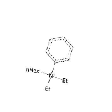 CCCCCC[N+](CC)(CC)c1ccccc1